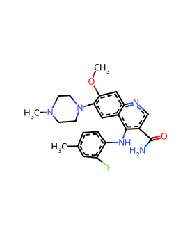 COc1cc2ncc(C(N)=O)c(Nc3ccc(C)cc3F)c2cc1N1CCN(C)CC1